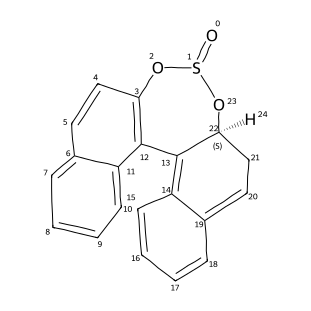 O=S1Oc2ccc3ccccc3c2C2=c3ccccc3=CC[C@@H]2O1